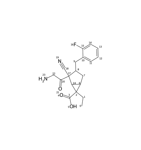 CCC1(C(=O)O)C2CC(Cc3ccccc3F)C(C#N)(C(=O)CN)C21